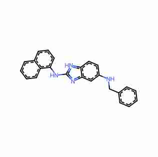 c1ccc(CNc2ccc3[nH]c(Nc4cccc5ccccc45)nc3c2)cc1